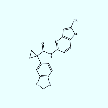 CC(C)(C)c1cc2nc(NC(=O)C3(c4ccc5c(c4)OCO5)CC3)ccc2[nH]1